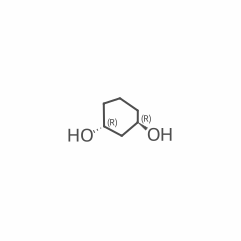 O[C@@H]1CCC[C@@H](O)C1